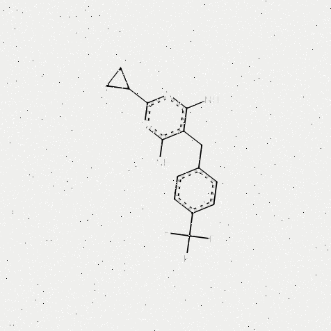 Nc1nc(C2CC2)nc(N)c1Cc1ccc(C(F)(F)F)cc1